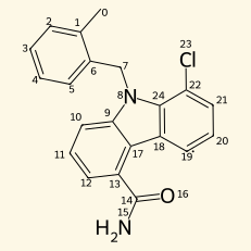 Cc1ccccc1Cn1c2cccc(C(N)=O)c2c2[c]ccc(Cl)c21